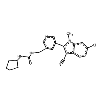 Cn1c(-c2cncc(CNC(=O)NC3CCCC3)c2)c(C#N)c2ccc(Cl)cc21